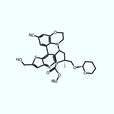 CC(C)(C)OC(=O)N1C[C@@H](N2CCOc3cc(C#N)cc(-c4ccnc5cc(CO)sc45)c32)C[C@@]1(C)CO[C@H]1CCCCO1